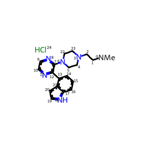 CNCCN1CCN(c2nccnc2-c2cccc3[nH]ccc23)CC1.Cl